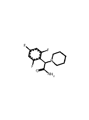 NC(=O)C(c1c(F)cc(F)cc1F)N1CCCCC1